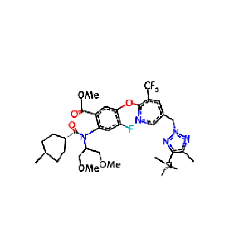 COCC(COC)N(c1cc(F)c(Oc2ncc(Cn3nc(C)c([Si](C)(C)C)n3)cc2C(F)(F)F)cc1C(=O)OC)C(=O)[C@H]1CC[C@H](C)CC1